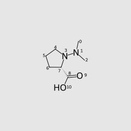 CN(C)N1CCC[C@H]1C(=O)O